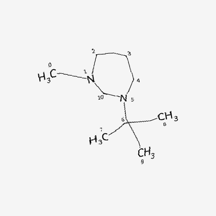 CN1CCCN(C(C)(C)C)C1